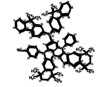 CC(C)(C)c1ccc(N2c3cc4c(cc3B3c5sc6cc7c(cc6c5N(c5ccccc5)c5cc(N(c6ccc8c(c6)C(C)(C)c6ccccc6-8)c6ccc8c(c6)C(C)(C)c6ccccc6-8)cc2c53)C(C)(C)CCC7(C)C)C(C)(C)CCC4(C)C)cc1